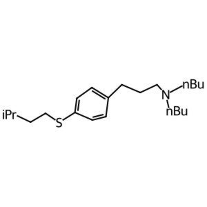 CCCCN(CCCC)CCCc1ccc(SCCC(C)C)cc1